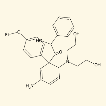 CCOc1ccc(C2(C(=O)C(O)c3ccccc3)C=C(N)C=CC2N(CCO)CCO)cc1